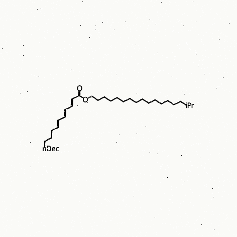 CCCCCCCCCCCCCC=CC=CC=CC(=O)OCCCCCCCCCCCCCCCC(C)C